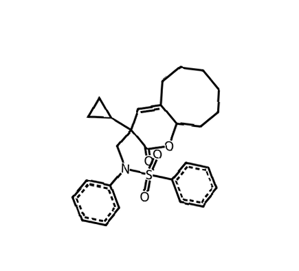 O=C1OC2CCCCCCC2=CC1(CN(c1ccccc1)S(=O)(=O)c1ccccc1)C1CC1